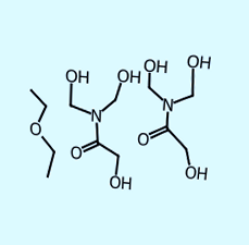 CCOCC.O=C(CO)N(CO)CO.O=C(CO)N(CO)CO